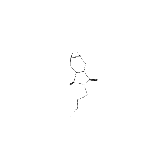 CCCCN1C(=O)C2CC3OC3CC2C1=O